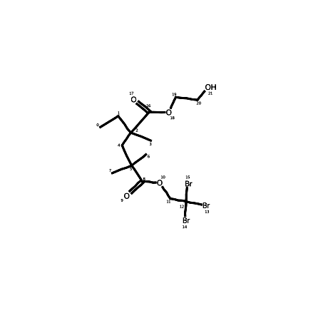 CCC(C)(CC(C)(C)C(=O)OCC(Br)(Br)Br)C(=O)OCCO